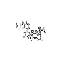 C[C@@](O)(c1ccnc(-c2cccc3cc([C@@H](NS(=O)(=O)C4CC4)c4ccccc4[N+](=O)[O-])sc23)c1)C(F)(F)F